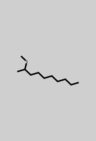 CCCCCCCCC(C)SC